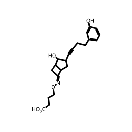 O=C(O)CCCON=C1CC2C1CC(C#CCCc1cccc(O)c1)C2O